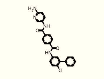 Nc1ccc(NC(=O)c2ccc(C(=O)Nc3ccc(Cl)c(-c4ccccc4)c3)cc2)cn1